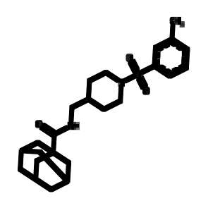 Cc1cccc(S(=O)(=O)N2CCC(CNC(=O)C34CC5CC(CC(C5)C3)C4)CC2)c1